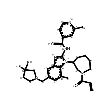 C=CC(=O)N1CCCCC(n2c(NC(=O)c3ccnc(C)c3)nc3cc(CN4CCC(F)(F)C4)cc(C)c32)C1